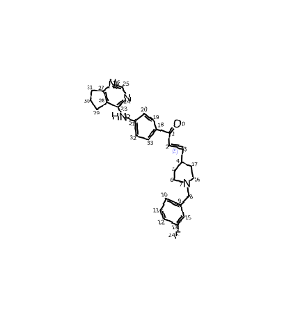 O=C(/C=C/C1CCN(Cc2cccc(F)c2)CC1)c1ccc(Nc2ncnc3c2CCC3)cc1